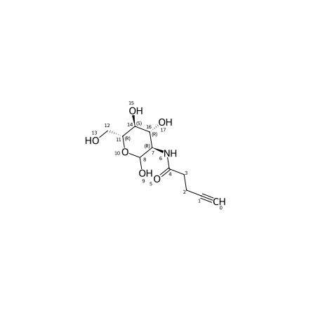 C#CCCC(=O)N[C@H]1C(O)O[C@H](CO)[C@@H](O)[C@@H]1O